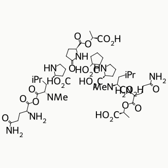 CN[C@@H](CC(C)C)C(=O)O.CN[C@@H](CC(C)C)C(=O)OC(=O)[C@@H](N)CCC(N)=O.C[C@H](OC(=O)C(N)CCC(N)=O)C(=O)O.C[C@H](OC(=O)[C@@H]1CCC(=O)N1)C(=O)O.O=C(O)C1CCCC1.O=C(O)[C@@H]1CCCN1.O=C(O)[C@@H]1CCCN1